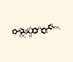 Cc1c(NC(=O)Nc2ccc(Oc3ccnc(-c4cnn(C)c4)c3)cc2F)cnn1C1CCCC1